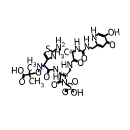 C[C@H](NC(=O)NCc1cc(=O)c(O)c[nH]1)C(=O)NC[C@@H]1[C@H](NC(=O)/C(=N\OC(C)(C)C(=O)O)c2csc(N)n2)C(=O)N1S(=O)(=O)O